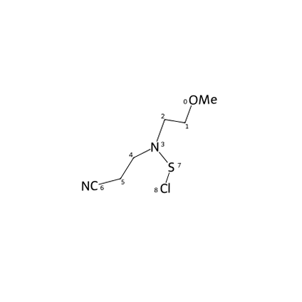 COCCN(CCC#N)SCl